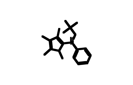 CC1=C(C)C(C)C([SiH](CC(C)(C)C)c2ccccc2)=C1C